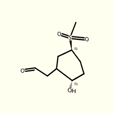 CS(=O)(=O)[C@H]1CC[C@H](O)C(CC=O)C1